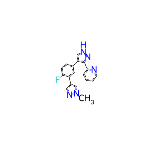 Cn1cc(-c2cc(-c3c[nH]nc3-c3ccccn3)ccc2F)cn1